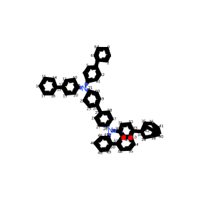 c1ccc(-c2ccc(N(c3ccc(-c4ccccc4)cc3)c3ccc(-c4ccc(N(c5ccc(C67CC8CC(C6)C(C8)C7)cc5)c5ccccc5-c5ccccc5)cc4)cc3)cc2)cc1